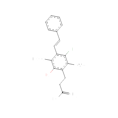 C=C(C)CCc1c(O)c(C(=O)O)c(/C=C/c2ccccc2)c(Cl)c1OC